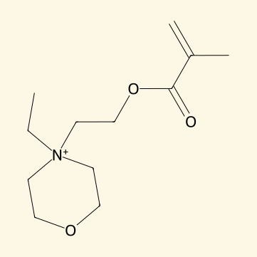 C=C(C)C(=O)OCC[N+]1(CC)CCOCC1